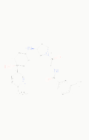 COc1ccc(C2(O)CCC(N[C@H]3CCN(C(=O)CNC(=O)c4cccc(C(F)(F)F)c4)C3)CC2)cn1